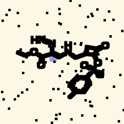 CCOC(=O)/C(=C/NCC1CC(=O)C1OS(=O)(=O)c1ccc(C)cc1)N=N